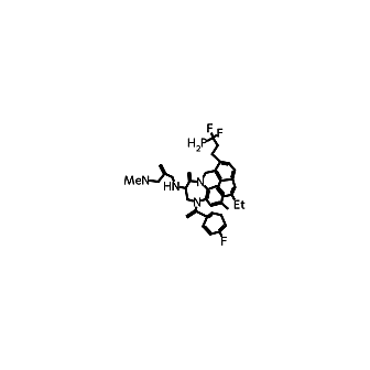 C=C(CNC)CNC1CN(C(=C)C2=CCC=C(F)C=C2)c2cc(C)ccc2N(Cc2c(CCC(F)(F)P)ccc3cc(CC)ccc23)C1=C